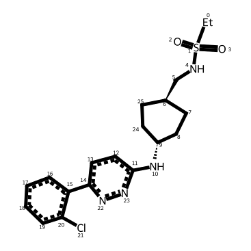 CCS(=O)(=O)NC[C@H]1CC[C@H](Nc2ccc(-c3ccccc3Cl)nn2)CC1